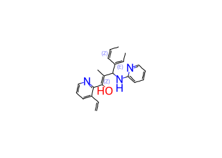 C=Cc1cccnc1/C(O)=C(\C)C(Nc1ccccn1)C(/C=C\C)=C/C